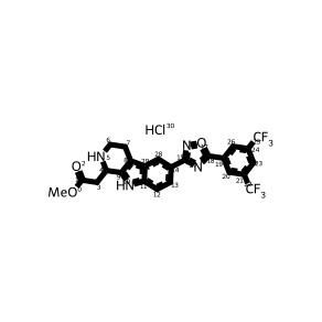 COC(=O)CC1NCCc2c1[nH]c1ccc(-c3noc(-c4cc(C(F)(F)F)cc(C(F)(F)F)c4)n3)cc21.Cl